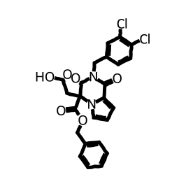 O=C(O)CC1(C(=O)OCc2ccccc2)C(=O)N(Cc2ccc(Cl)c(Cl)c2)C(=O)c2cccn21